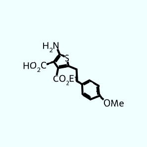 CCOC(=O)c1c(CCc2ccc(OC)cc2)sc(N)c1C(=O)O